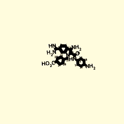 N=C(N)c1ccc2c(N)c(C(=O)NC3CCC(N)CC3)n(Cc3ccc(C(=O)O)cc3)c2c1